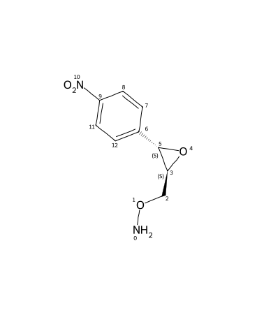 NOC[C@@H]1O[C@H]1c1ccc([N+](=O)[O-])cc1